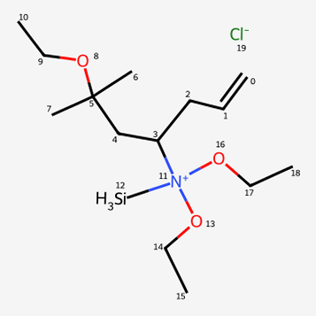 C=CCC(CC(C)(C)OCC)[N+]([SiH3])(OCC)OCC.[Cl-]